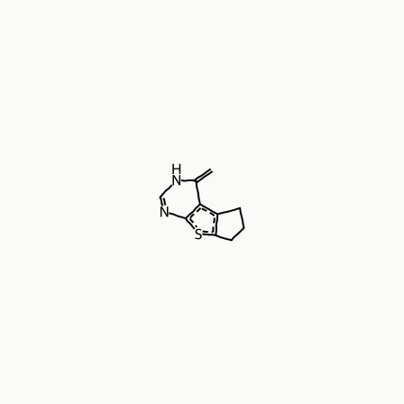 C=C1NC=Nc2sc3c(c21)CCC3